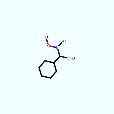 CCON(C(C)=O)C(C=O)C1CCCCC1